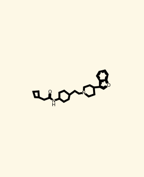 O=C(CC1CCC1)NC1CCC(CCN2CCC(c3coc4ccccc34)CC2)CC1